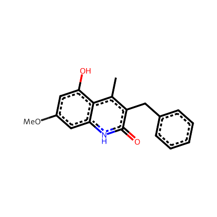 COc1cc(O)c2c(C)c(Cc3ccccc3)c(=O)[nH]c2c1